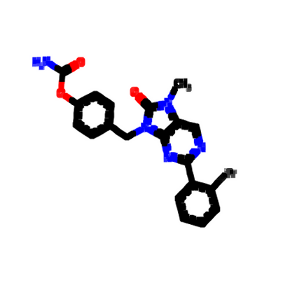 CC(C)c1ccccc1-c1ncc2c(n1)n(Cc1ccc(OC(N)=O)cc1)c(=O)n2C